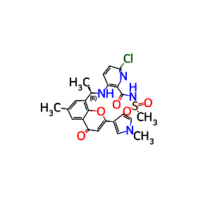 Cc1cc([C@@H](C)Nc2ccc(Cl)nc2C(=O)NS(C)(=O)=O)c2oc(-c3ccn(C)c3)cc(=O)c2c1